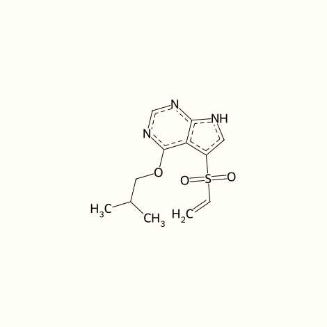 C=CS(=O)(=O)c1c[nH]c2ncnc(OCC(C)C)c12